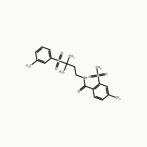 CC(C)(CCNC(=O)c1ccc(C(F)(F)F)cc1S(C)(=O)=O)S(=O)(=O)c1cccc(C(F)(F)F)c1